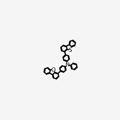 c1ccc(N(c2ccc(-c3cccc4c3oc3ccccc34)cc2)c2ccc(-c3cccc4c3sc3ccccc34)cc2)cc1